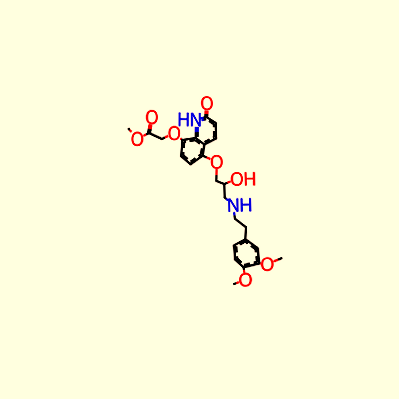 COC(=O)COc1ccc(OCC(O)CNCCc2ccc(OC)c(OC)c2)c2ccc(=O)[nH]c12